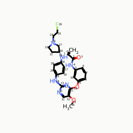 C=CC(=O)Nc1cccc(Oc2nc(Nc3ccc(N[C@@H]4CCN(CCF)C4)cc3)ncc2OC)c1